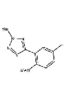 [CH2]c1ccc(OC)c(-c2nnn(C(C)(C)C)n2)c1